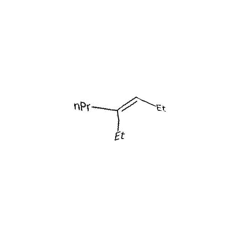 [CH2]CCC(=CCC)CC